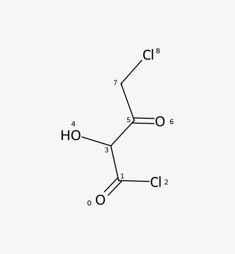 O=C(Cl)C(O)C(=O)CCl